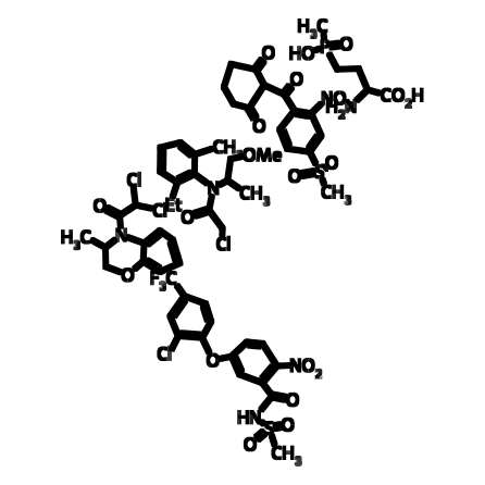 CC1COc2ccccc2N1C(=O)C(Cl)Cl.CCc1cccc(C)c1N(C(=O)CCl)C(C)COC.CP(=O)(O)CCC(N)C(=O)O.CS(=O)(=O)NC(=O)c1cc(Oc2ccc(C(F)(F)F)cc2Cl)ccc1[N+](=O)[O-].CS(=O)(=O)c1ccc(C(=O)C2C(=O)CCCC2=O)c([N+](=O)[O-])c1